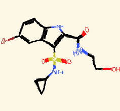 O=C(NCCO)c1[nH]c2ccc(Br)cc2c1S(=O)(=O)NC1CC1